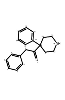 O=C(Cc1ccccc1)C1(c2ccccc2)CCNCC1